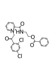 O=C(OCCNC(=O)c1cccc[n+]1CC(=O)c1ccc(Cl)cc1Cl)c1ccccc1